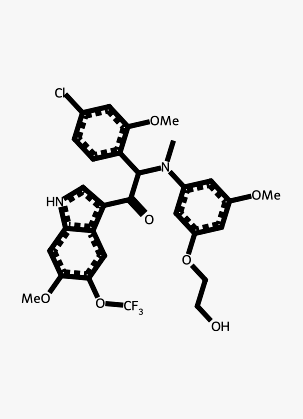 COc1cc(OCCO)cc(N(C)C(C(=O)c2c[nH]c3cc(OC)c(OC(F)(F)F)cc23)c2ccc(Cl)cc2OC)c1